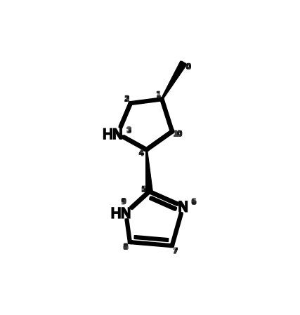 C[C@@H]1CN[C@H](c2ncc[nH]2)C1